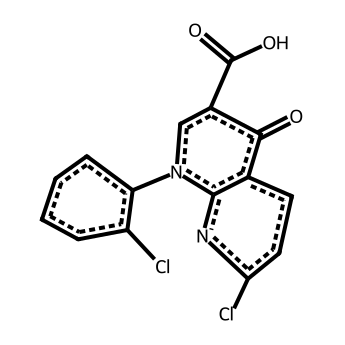 O=C(O)c1cn(-c2ccccc2Cl)c2nc(Cl)ccc2c1=O